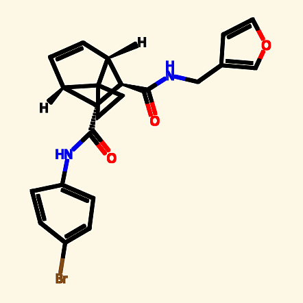 O=C(NCc1ccoc1)[C@H]1[C@H](C(=O)Nc2ccc(Br)cc2)[C@@H]2C=C[C@H]1C21CC1